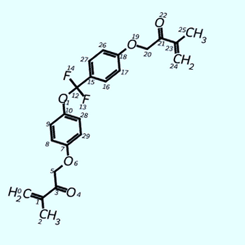 C=C(C)C(=O)COc1ccc(OC(F)(F)c2ccc(OCC(=O)C(=C)C)cc2)cc1